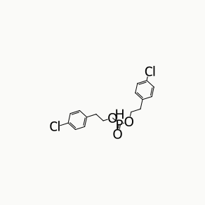 O=[PH](OCCc1ccc(Cl)cc1)OCCc1ccc(Cl)cc1